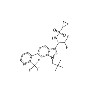 CC(C)(C)Cn1cc([C@H](NS(=O)(=O)C2CC2)C(F)F)c2ccc(-c3cccnc3C(F)(F)F)cc21